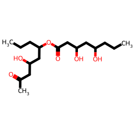 CCCC(O)CC(O)CC(=O)OC(CCC)CC(O)CC(C)=O